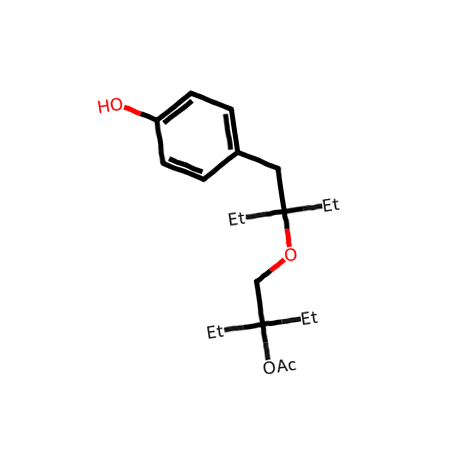 CCC(CC)(Cc1ccc(O)cc1)OCC(CC)(CC)OC(C)=O